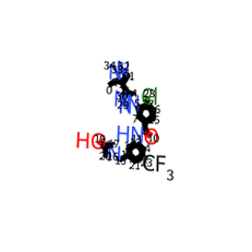 Cc1c(-c2cn(-c3cc(C(=O)Nc4cc(CN5CC(O)C5)cc(C(F)(F)F)c4)ccc3Cl)nn2)cnn1C